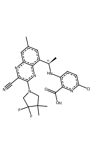 Cc1cc([C@@H](C)Nc2ccc(Cl)nc2C(=O)O)c2nc(N3CC(C)(C)C(F)(F)C3)c(C#N)nc2c1